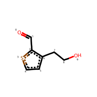 O=Cc1sccc1CCO